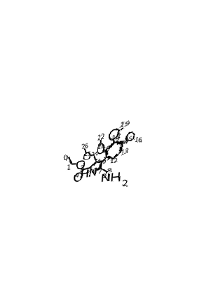 CCOC(=O)c1[nH]c(CN)c(-c2ccc(OC)c(OC)c2OC)c1COC